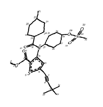 COC(=O)c1sc(C#CC(C)(C)C)cc1N(C(=O)C1CCC(C)CC1)C1CCC(OS(C)(=O)=O)CC1